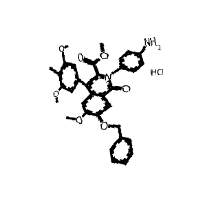 COC(=O)c1c(-c2cc(OC)c(C)c(OC)c2)c2cc(OC)c(OCc3ccccc3)cc2c(=O)n1-c1ccc(N)cc1.Cl